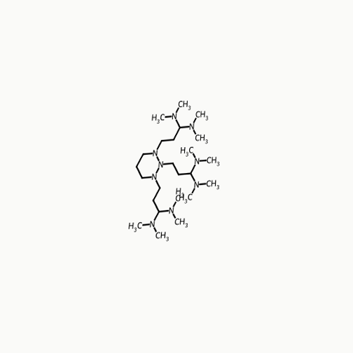 CN(C)C(CCN1CCCN(CCC(N(C)C)N(C)C)N1CCC(N(C)C)N(C)C)N(C)C